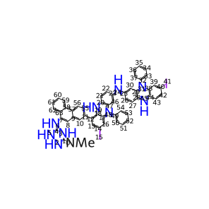 CNC(=N)NC(=N)Nc1cc2cc(-c3cc(I)cc4c3Nc3ccc(Nc5ccc6c(c5)N(c5ccccc5)c5cc(I)ccc5N6)cc3N4c3ccccc3)ccc2c2ccccc12